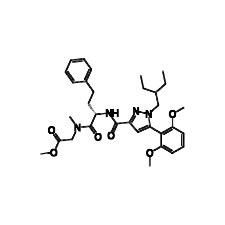 CCC(CC)Cn1nc(C(=O)N[C@@H](CCc2ccccc2)C(=O)N(C)CC(=O)OC)cc1-c1c(OC)cccc1OC